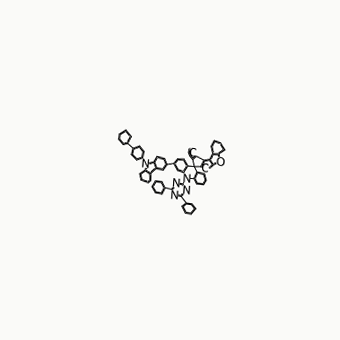 c1ccc(-c2ccc(-n3c4ccccc4c4cc(-c5ccc6c(c5)N(c5nc(-c7ccccc7)nc(-c7ccccc7)n5)c5ccccc5C65c6ccccc6-c6c5ccc5oc7ccccc7c65)ccc43)cc2)cc1